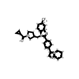 O=C(C1CC1)N1CCC(Cn2c(-c3ccc(-c4cnc5ccccn45)cc3)nc3cc(C(F)(F)F)ccc32)C1